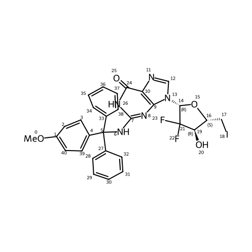 COc1ccc(C(Nc2nc3c(ncn3[C@@H]3O[C@H](CI)[C@@H](O)C3(F)F)c(=O)[nH]2)(c2ccccc2)c2ccccc2)cc1